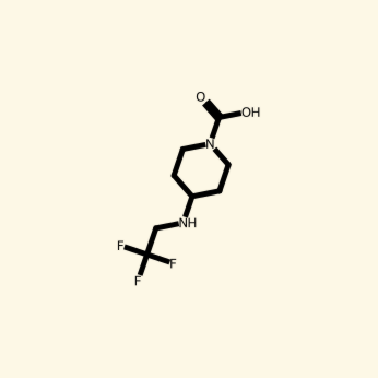 O=C(O)N1CCC(NCC(F)(F)F)CC1